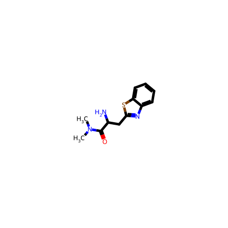 CN(C)C(=O)C(N)Cc1nc2ccccc2s1